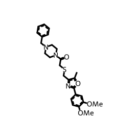 COc1ccc(-c2nc(CSCC(=O)N3CCN(Cc4ccccc4)CC3)c(C)o2)cc1OC